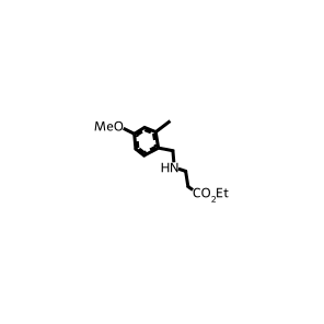 CCOC(=O)CCNCc1ccc(OC)cc1C